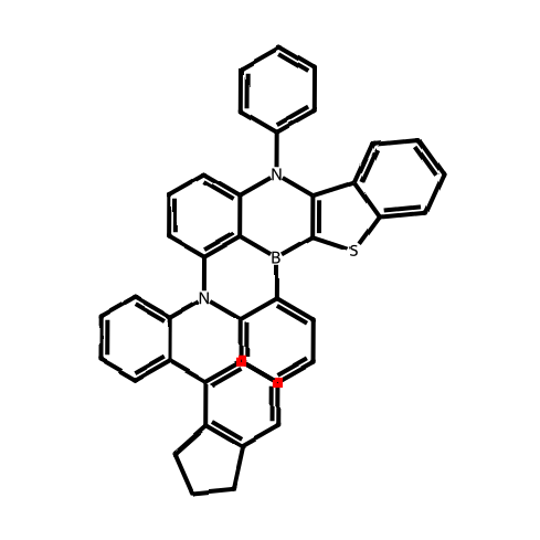 c1ccc(N2c3cccc4c3B(c3ccccc3N4c3ccccc3-c3cccc4c3CCC4)c3sc4ccccc4c32)cc1